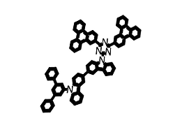 c1ccc(-c2cc(-c3ccccc3)cc(-n3c4ccccc4c4cc(-c5ccc6c(c5)c5ccccc5n6-c5nc(-c6ccc7c8ccccc8c8ccccc8c7c6)nc(-c6ccc7c8ccccc8c8ccccc8c7c6)n5)ccc43)c2)cc1